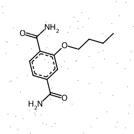 CCCCOc1cc(C(N)=O)ccc1C(N)=O